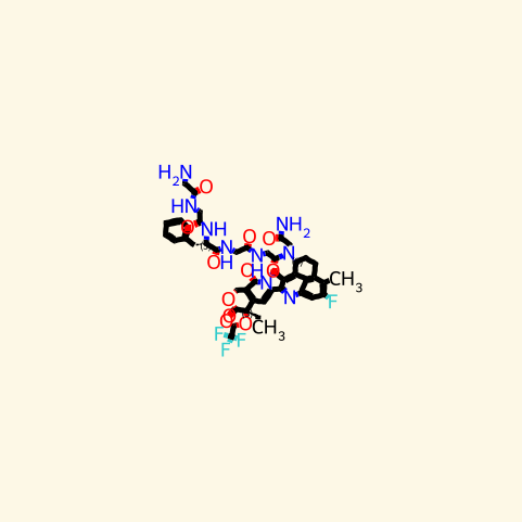 CC[C@@]1(OC(=O)C(F)(F)F)C(=O)OCc2c1cc1n(c2=O)Cc2c-1nc1cc(F)c(C)c3c1c2[C@@H](N(CC(N)=O)C(=O)CNC(=O)CNC(=O)[C@H](Cc1ccccc1)NC(=O)CNC(=O)CN)CC3